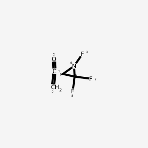 C=C=O.FN1CC1(F)F